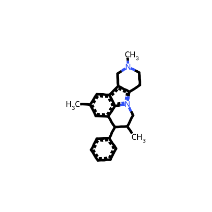 Cc1cc2c3c(c1)c1c(n3CC(C)C2c2ccccc2)CCN(C)C1